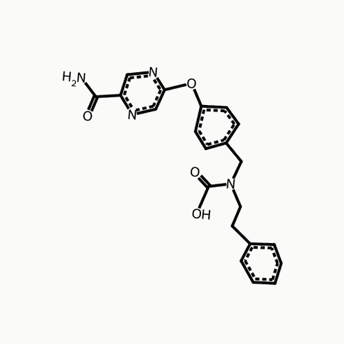 NC(=O)c1cnc(Oc2ccc(CN(CCc3ccccc3)C(=O)O)cc2)cn1